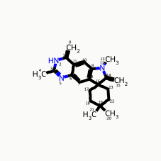 C=C1NC(C)=Nc2cc3c(cc21)N(C)C(=C)C31CCC(C)(C)CC1